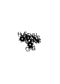 CCN(C(=O)C1=C(C)Nc2cc(C(F)(F)F)nn2C1c1ccc(Cl)c(Cl)c1)c1ccccc1